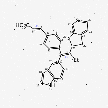 CC/C(=C(/c1ccc(/C=C/C(=O)O)cc1)c1ccc2[nH]ncc2c1)C1Cc2ccccc2S1